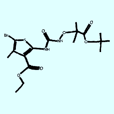 CCOC(=O)c1c(NC(=O)NOC(C)(C)C(=O)OC(C)(C)C)sc(Br)c1C